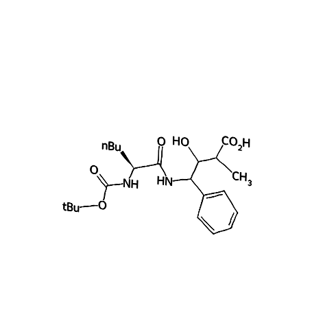 CCCC[C@H](NC(=O)OC(C)(C)C)C(=O)NC(c1ccccc1)C(O)C(C)C(=O)O